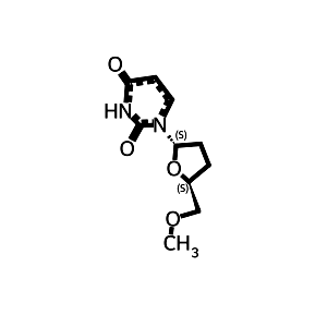 COC[C@@H]1CC[C@@H](n2ccc(=O)[nH]c2=O)O1